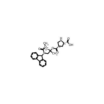 COC(=O)N(CC(C)(C)OC(=O)[C@H]1CN[C@H](C(=O)O)C1)C1c2ccccc2-c2ccccc21